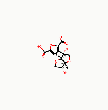 O=C(O)c1cc([C@@]2(O)CO[C@@H]3[C@H](O)CO[C@@H]32)c(C(=O)O)o1